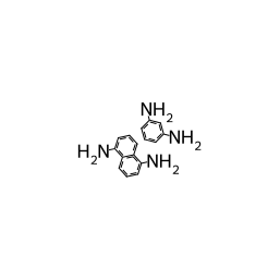 Nc1cccc(N)c1.Nc1cccc2c(N)cccc12